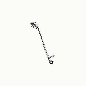 C[SiH2]OC(O[SiH2]C)C(C)(C)CCCCCCCCCCCCCCCCCCCCCCP(CCBr)Cc1ccccc1